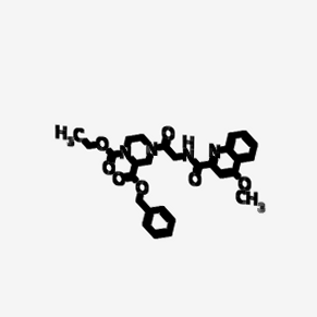 CCOC(=O)N1CCN(C(=O)CNC(=O)c2cc(OC)c3ccccc3n2)CC1C(=O)OCc1ccccc1